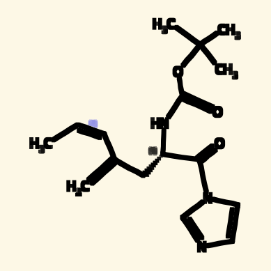 C=C(/C=C\C)C[C@H](NC(=O)OC(C)(C)C)C(=O)n1ccnc1